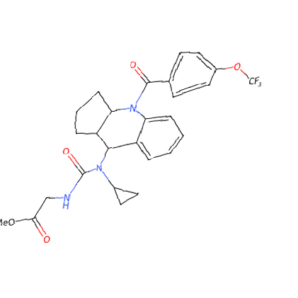 COC(=O)CNC(=O)N(C1CC1)C1c2ccccc2N(C(=O)c2ccc(OC(F)(F)F)cc2)C2CCCC21